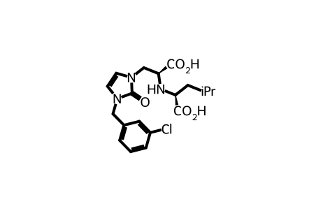 CC(C)C[C@H](N[C@@H](Cn1ccn(Cc2cccc(Cl)c2)c1=O)C(=O)O)C(=O)O